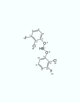 Fc1cccc(OBOc2cccc(F)c2Cl)c1Cl